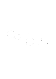 COc1cc(C(C)C(=O)O)ccc1-c1cn2ccccc2n1